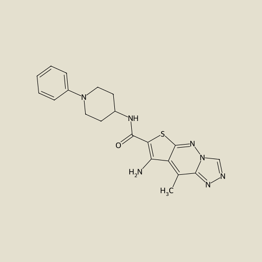 Cc1c2c(N)c(C(=O)NC3CCN(c4ccccc4)CC3)sc2nn2cnnc12